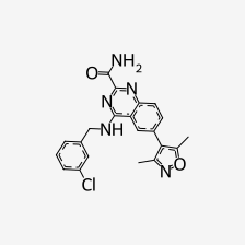 Cc1noc(C)c1-c1ccc2nc(C(N)=O)nc(NCc3cccc(Cl)c3)c2c1